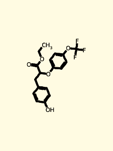 CCOC(=O)C(Cc1ccc(O)cc1)Oc1ccc(OC(F)(F)F)cc1